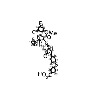 COC(=O)C1=C(CN2CCN3C(=O)N(c4ccc(Sc5ccc(C(=O)O)cc5)cc4)C[C@@H]3C2)NC(c2nccs2)=N[C@H]1c1ccc(F)cc1Cl